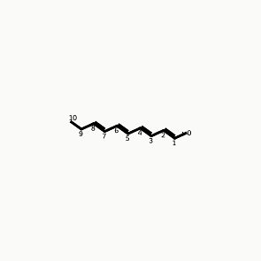 [CH2]C=CC=CC=CC=CCC